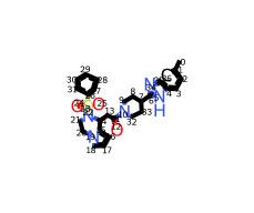 Cc1ccc2[nH]c(C3CCN(C(=O)CC4c5cccn5CCN4S(=O)(=O)c4ccccc4)CC3)nc2c1